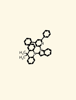 CC1(C)c2ccccc2N(c2cc3ccccc3n2-c2cc(-c3ccccc3)cc(-c3ccccc3)n2)c2ccccc21